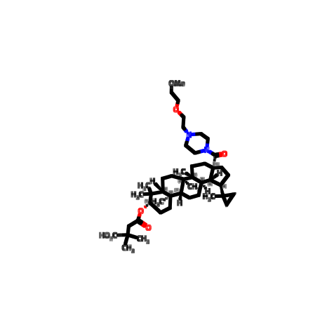 COCCOCCN1CCN(C(=O)[C@]23CC[C@@H](C4(C)CC4)[C@@H]2[C@H]2CC[C@@H]4[C@@]5(C)CC[C@H](OC(=O)CC(C)(C)C(=O)O)C(C)(C)[C@@H]5CC[C@@]4(C)[C@]2(C)CC3)CC1